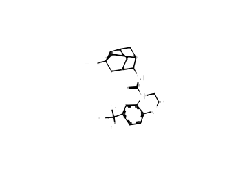 O=C(NC1C2CC3CC1CC(O)(C3)C2)N1CCOc2ccc(C(F)(F)F)cc21